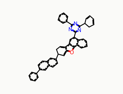 C1=CCC(c2nc(-c3ccccc3)nc(-c3cc4c5c(oc4c4ccccc34)=CC(c3ccc4cc(-c6ccccc6)ccc4c3)CC=5)n2)C=C1